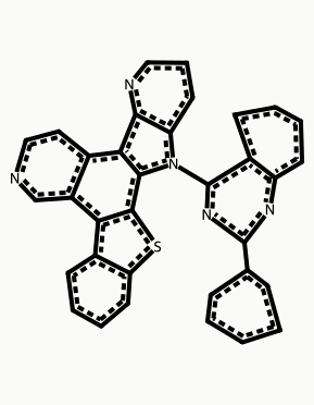 c1ccc(-c2nc(-n3c4cccnc4c4c5ccncc5c5c6ccccc6sc5c43)c3ccccc3n2)cc1